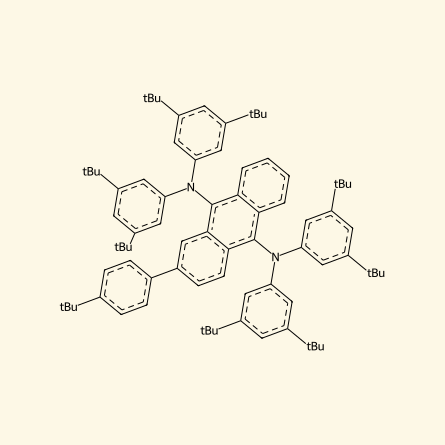 CC(C)(C)c1ccc(-c2ccc3c(N(c4cc(C(C)(C)C)cc(C(C)(C)C)c4)c4cc(C(C)(C)C)cc(C(C)(C)C)c4)c4ccccc4c(N(c4cc(C(C)(C)C)cc(C(C)(C)C)c4)c4cc(C(C)(C)C)cc(C(C)(C)C)c4)c3c2)cc1